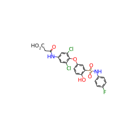 O=C(O)CC(=O)Nc1cc(Cl)c(Oc2ccc(O)c(S(=O)(=O)Nc3ccc(F)cc3)c2)c(Cl)c1